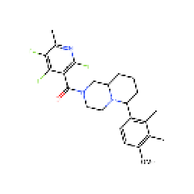 COc1ccc(C2CCCC3CN(C(=O)c4c(F)nc(C)c(F)c4F)CCN32)c(C)c1C